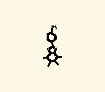 Bc1ccc(-c2nc3c(C)c(C)c(C)c(C)c3o2)cc1